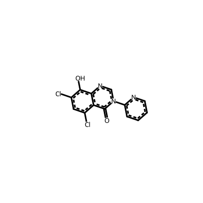 O=c1c2c(Cl)cc(Cl)c(O)c2ncn1-c1ccccn1